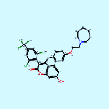 O=c1oc2cc(O)ccc2c(Cc2ccc(OCCN3CCCCCC3)cc2)c1-c1c(Cl)cc(C(F)(F)F)cc1Cl